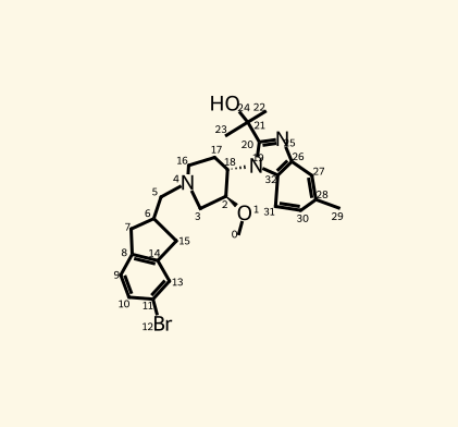 CO[C@H]1CN(CC2Cc3ccc(Br)cc3C2)CC[C@@H]1n1c(C(C)(C)O)nc2cc(C)ccc21